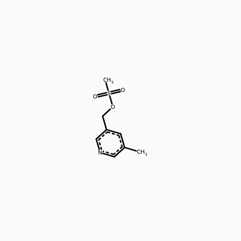 Cc1cncc(COS(C)(=O)=O)c1